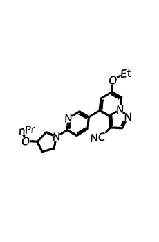 CCCOC1CCN(c2ccc(-c3cc(OCC)cn4ncc(C#N)c34)cn2)C1